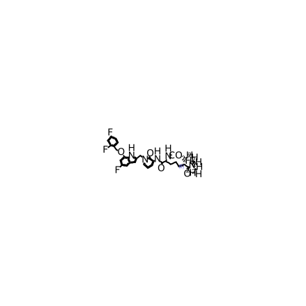 [2H]C([2H])([2H])N(C(=O)/C=C/CCC(NC(=O)O)C(=O)Nc1cccn(Cc2cc3cc(F)cc(OCc4ccc(F)cc4F)c3[nH]2)c1=O)C([2H])([2H])[2H]